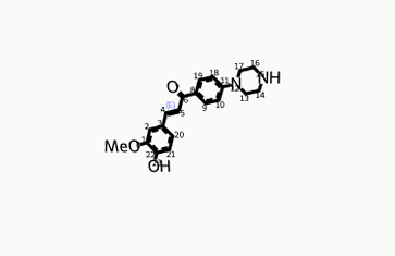 COc1cc(/C=C/C(=O)c2ccc(N3CCNCC3)cc2)ccc1O